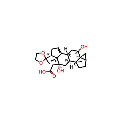 CC1([C@H]2CC=C3[C@@H]4C[C@@H](O)[C@]56CC5CC[C@]6(C)[C@H]4C[C@](O)(CC(=O)O)[C@@]32C)OCCO1